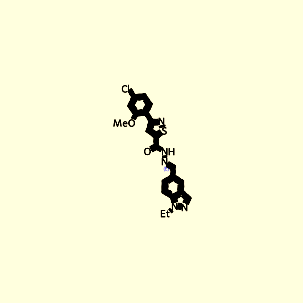 CCn1ncc2cc(/C=N/NC(=O)c3cc(-c4ccc(Cl)cc4OC)ns3)ccc21